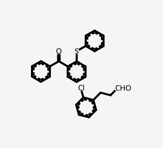 O=C(c1ccccc1)c1ccccc1Sc1ccccc1.O=CCCc1ccccc1Cl